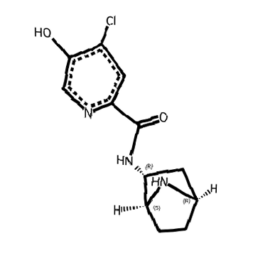 O=C(N[C@@H]1C[C@H]2CC[C@@H]1N2)c1cc(Cl)c(O)cn1